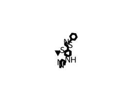 Cn1cc(Nc2ccc(-c3cnc(C4CCCCC4)s3)c(SC3CC3)c2)cn1